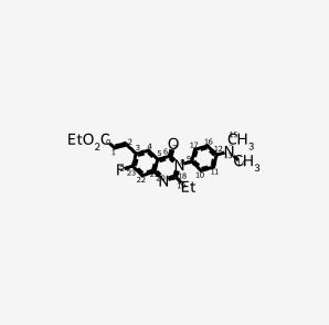 CCOC(=O)/C=C/c1cc2c(=O)n(-c3ccc(N(C)C)cc3)c(CC)nc2cc1F